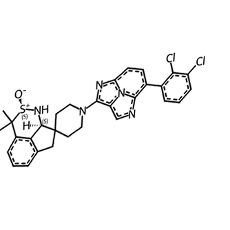 CC1(C)c2cccc3c2[C@@H](N[S@+]1[O-])C1(CCN(c2nc4ccc(-c5cccc(Cl)c5Cl)c5ncc2n45)CC1)C3